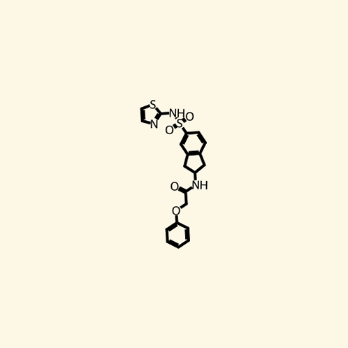 O=C(COc1ccccc1)NC1Cc2ccc(S(=O)(=O)Nc3nccs3)cc2C1